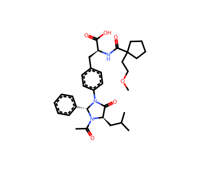 COCCC1(C(=O)N[C@@H](Cc2ccc(N3C(=O)[C@@H](CC(C)C)N(C(C)=O)[C@@H]3c3ccccc3)cc2)C(=O)O)CCCC1